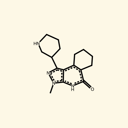 Cn1nc(C2CCCNC2)c2c3c(c(=O)[nH]c21)CCCC3